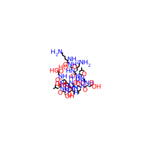 CC(C)C[C@H](NC(=O)[C@H](CCCCN)NC(=O)[C@H](CO)NC(=O)[C@@H](N)CCCCN)C(=O)NCC(=O)N[C@@H](CC(=O)O)C(=O)N[C@@H](CC(C)C)C(=O)N[C@H](C(=O)N[C@H](C(=O)N[C@H](C(=O)N[C@@H](CO)C(=O)N[C@@H](CC(C)C)C(=O)N1CCC[C@H]1C(=O)NCC(=O)O)C(C)C)[C@@H](C)O)C(C)C